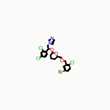 Clc1ccc(C(Cn2ccnc2)OC2CCCC(COCc3cc(Br)ccc3Cl)O2)c(Cl)c1